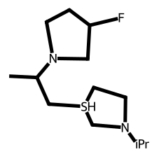 CC(C)N1CC[SH](CC(C)N2CCC(F)C2)C1